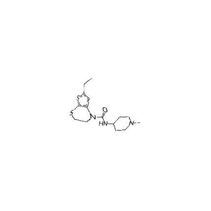 CCc1cc2c(s1)SCCN2C(=O)NC1CCN(C)CC1